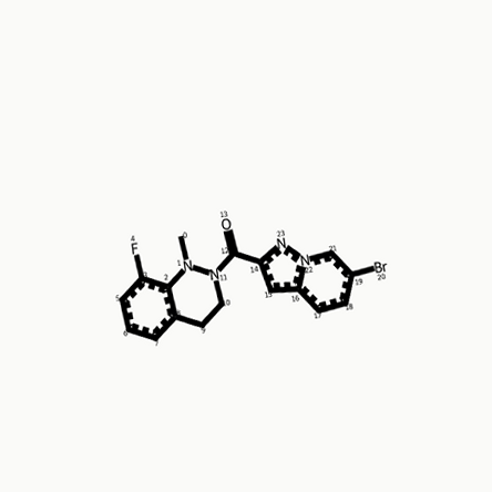 CN1c2c(F)cccc2CCN1C(=O)c1cc2ccc(Br)cn2n1